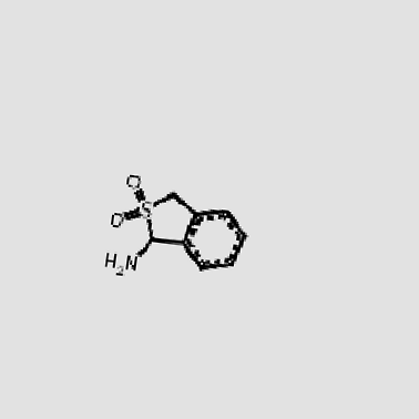 NC1c2ccccc2CS1(=O)=O